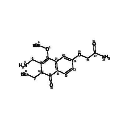 CCCCOc1c(CN)n(CC(C)(C)C)c(=O)c2ccc(OCC(N)=O)cc12